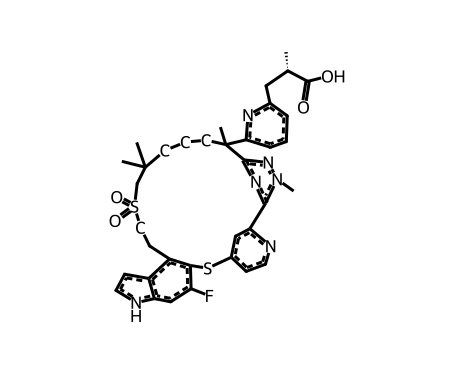 C[C@@H](Cc1cccc(C2(C)CCCC(C)(C)CS(=O)(=O)CCc3c(c(F)cc4[nH]ccc34)Sc3ccnc(c3)-c3nc2nn3C)n1)C(=O)O